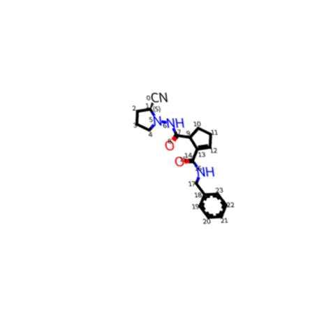 N#C[C@@H]1CCCN1NC(=O)C1CCC=C1C(=O)NCc1ccccc1